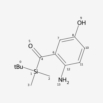 CC(C)(C)[Si](C)(C)C(=O)c1cc(O)ccc1N